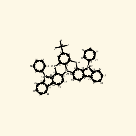 CC(C)(C)c1cc2c3c(c1)Sc1c(ccc4c5ccccc5n(-c5ccccc5)c14)B3c1ccc3c4ccccc4n(-c4ccccc4)c3c1S2